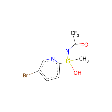 C[SH](O)(=NC(=O)C(F)(F)F)c1ccc(Br)cn1